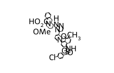 COC1CC(Nc2nccc(-c3cccnc3Oc3c(C)ccc4c(NS(=O)(=O)Cc5ccc(Cl)cc5)cccc34)n2)C(Cc2ccccc2)N(C(=O)O)C1